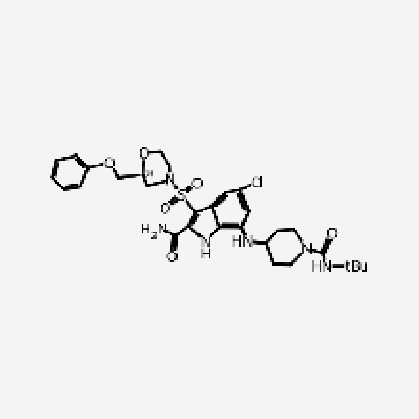 CC(C)(C)NC(=O)N1CCC(Nc2cc(Cl)cc3c(S(=O)(=O)N4CCO[C@H](COc5ccccc5)C4)c(C(N)=O)[nH]c23)CC1